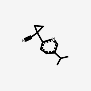 CC(C)c1ccc(C2(C#N)CC2)nc1